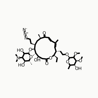 CC[C@H]1OC(=O)C[C@@H](O)[C@H](C)[C@@H](O[C@@H]2O[C@H](C)[C@@H](O)C(N(C)C)C2O)[C@@H](CCN=[N+]=[N-])C[C@@H](C)C(=O)/C=C/C(C)=C/[C@@H]1CCO[C@@H]1OC(C)[C@@H](O)[C@H](OC)C1OC